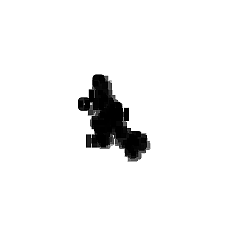 CC(C)Oc1ccccc1[C@@H]1CCCN1C1CC2(CCN(c3ccc(C(=O)NS(=O)(=O)c4ccc(NCC5CCOCC5)c([N+](=O)[O-])c4)c(N4c5cc6cc[nH]c6nc5O[C@@H]5CCOC[C@@H]54)c3)CC2)C1